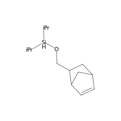 CC(C)[SiH](OCC1CC2C=CC1C2)C(C)C